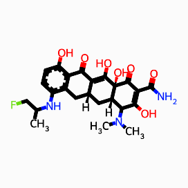 CC(CF)Nc1ccc(O)c2c1C[C@H]1C[C@H]3C(N(C)C)C(O)=C(C(N)=O)C(=O)[C@@]3(O)C(O)=C1C2=O